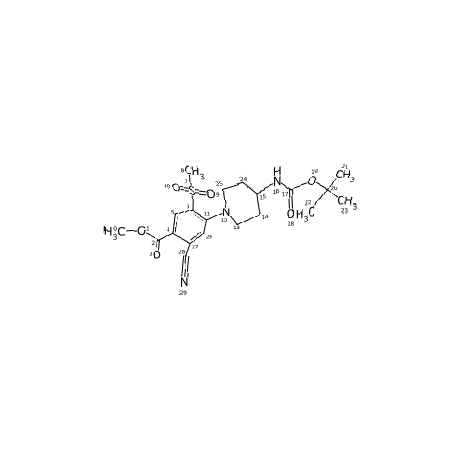 COC(=O)c1cc(S(C)(=O)=O)c(N2CCC(NC(=O)OC(C)(C)C)CC2)cc1C#N